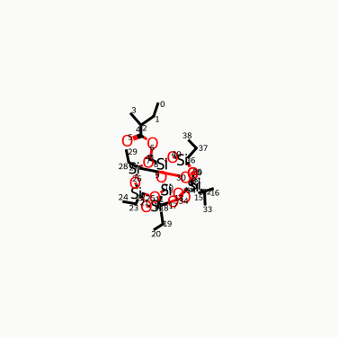 CCC(C)C(=O)OC[Si]12O[Si]3(CC)O[Si]4(CC)O[Si]5(CC)O[Si](CC)(O3)O[Si](CC)(O[Si](CC)(O5)O[Si](CC)(O4)O1)O2